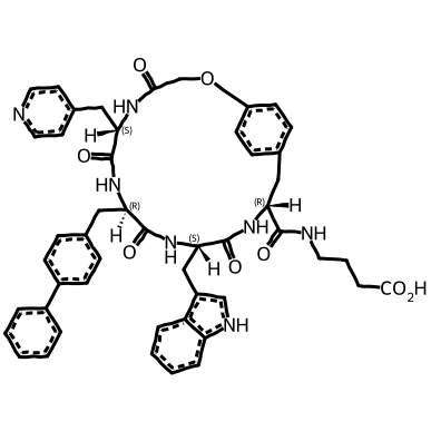 O=C(O)CCCNC(=O)[C@H]1Cc2ccc(cc2)OCC(=O)N[C@@H](Cc2ccncc2)C(=O)N[C@H](Cc2ccc(-c3ccccc3)cc2)C(=O)N[C@@H](Cc2c[nH]c3ccccc23)C(=O)N1